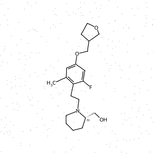 Cc1cc(OCC2CCOC2)cc(F)c1CCN1CCCC[C@H]1CO